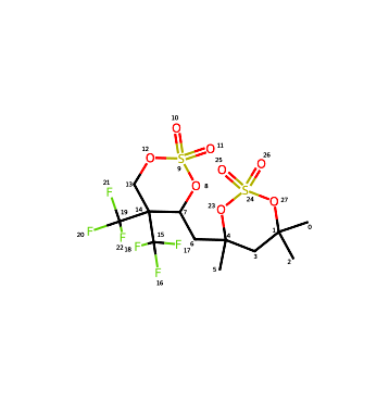 CC1(C)CC(C)(CC2OS(=O)(=O)OCC2(C(F)(F)F)C(F)(F)F)OS(=O)(=O)O1